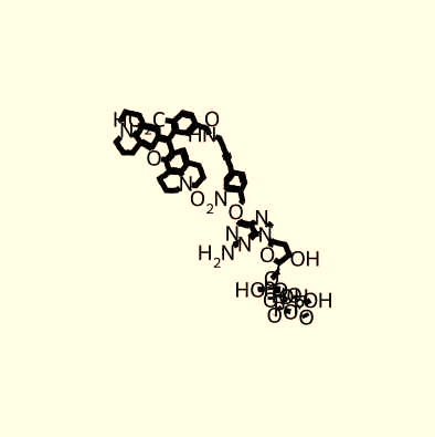 Nc1nc(OCc2ccc(C#CCNC(=O)c3ccc(C(=O)O)c(C4=c5cc6c7c(c5Oc5c4cc4c8c5CCCN8CCC4)CCC[N+]=7CCC6)c3)cc2[N+](=O)[O-])c2ncn([C@H]3C[C@@H](O)[C@@H](COP(=O)(O)OP(=O)(O)OP(=O)(O)O)O3)c2n1